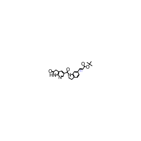 CC(C)(C)OC(=O)/C=C/c1ccc2c(c1)N(C(=O)c1cnc3c(c1)CC(=O)N3)CC2